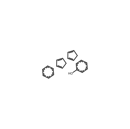 C1=CCC=C1.C1=CCC=C1.Oc1ccccc1.c1ccccc1